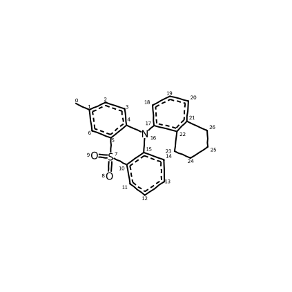 Cc1ccc2c(c1)S(=O)(=O)c1ccccc1N2c1cccc2c1CCCC2